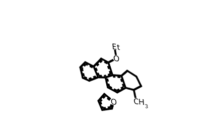 CCOc1cc2ccccc2c2ccc3c(c12)CCCC3C.c1ccoc1